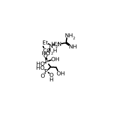 CC(=O)O.CCN(O)CC.N=C(N)N.O=P(O)(O)C(CO)P(=O)(O)O